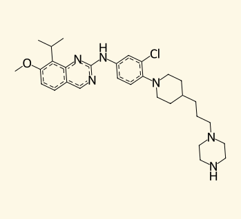 COc1ccc2cnc(Nc3ccc(N4CCC(CCCN5CCNCC5)CC4)c(Cl)c3)nc2c1C(C)C